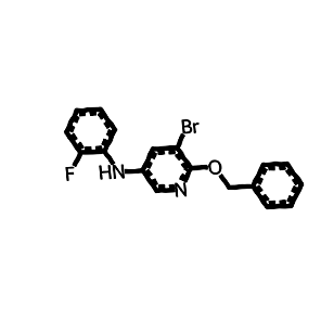 Fc1ccccc1Nc1cnc(OCc2ccccc2)c(Br)c1